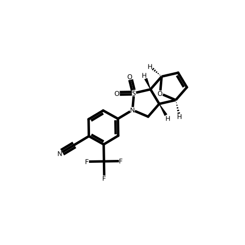 N#Cc1ccc(N2C[C@@H]3[C@@H]([C@H]4C=C[C@@H]3O4)S2(=O)=O)cc1C(F)(F)F